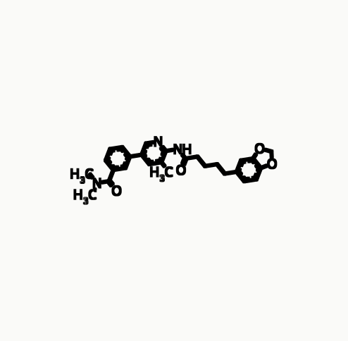 Cc1cc(-c2cccc(C(=O)N(C)C)c2)cnc1NC(=O)CCCCc1ccc2c(c1)OCO2